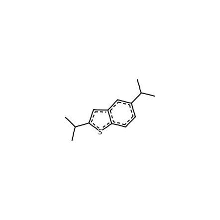 CC(C)c1ccc2sc(C(C)C)cc2c1